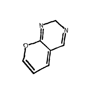 C1=COC2=NCN=CC2=C1